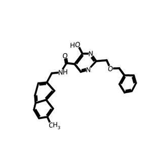 Cc1ccc2ccc(CNC(=O)c3cnc(COCc4ccccc4)nc3O)cc2c1